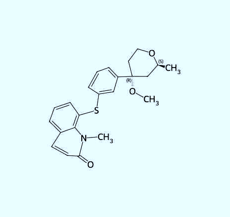 CO[C@]1(c2cccc(Sc3cccc4ccc(=O)n(C)c34)c2)CCO[C@@H](C)C1